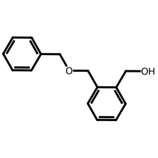 OCc1ccccc1COCc1ccccc1